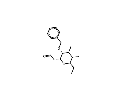 CC[C@H]1O[C@H](CC=O)[C@H](OCc2ccccc2)[C@@H](C)[C@@H]1C